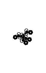 C[C@]1(OC(=O)c2ccccc2)C(OC(=O)c2ccccc2)O[C@H](COC(=O)c2ccccc2)[C@@H]1OC(=O)c1ccccc1